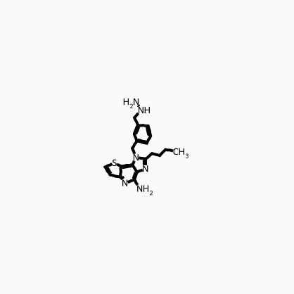 CCCCc1nc2c(N)nc3ccsc3c2n1Cc1cccc(CNN)c1